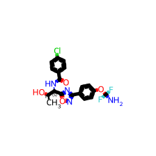 C[C@@H](O)[C@H](NC(=O)c1ccc(Cl)cc1)c1nc(-c2ccc(OC(N)(F)F)cc2)no1